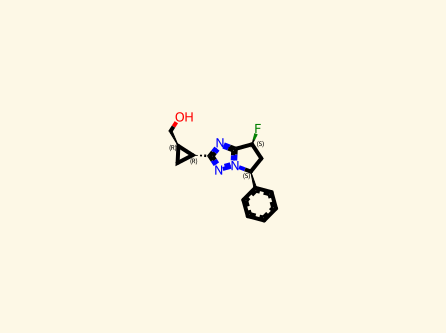 OC[C@@H]1C[C@H]1c1nc2n(n1)[C@H](c1ccccc1)C[C@@H]2F